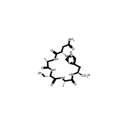 CC(C)C[C@H](NC(=O)[C@H](C)NC(=O)[C@@H](N)CC(N)=O)C(=O)N[C@@H](C)C(=O)N[C@@H](Cc1c[nH]cn1)C(=O)O